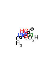 Cc1ccc([C@H](CC(=O)O)NC(=O)Nc2cc(Cl)cc(Cc3ccccc3)c2O)cc1